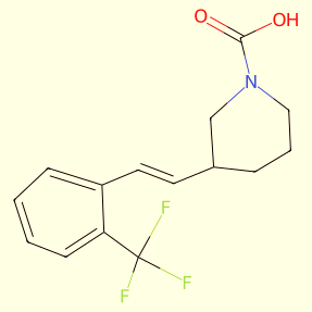 O=C(O)N1CCCC(C=Cc2ccccc2C(F)(F)F)C1